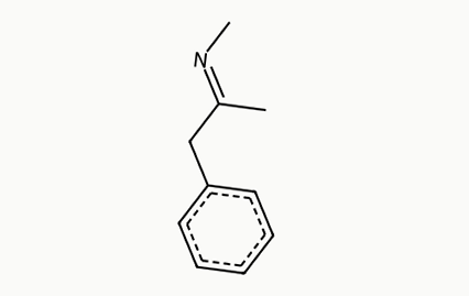 C/N=C(\C)Cc1ccccc1